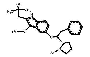 CC(=O)N1CCC[C@@H]1C(Cc1ccccn1)Oc1ccc2[nH]c(CC(C)(C)O)c(SC(C)(C)C)c2c1